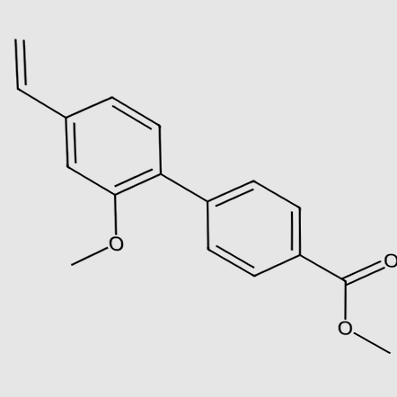 C=Cc1ccc(-c2ccc(C(=O)OC)cc2)c(OC)c1